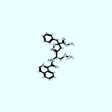 COC[C@@H](NC(=O)c1nccc2ccccc12)C1=NOC(Cc2ccccc2)(C(=O)OC)C1